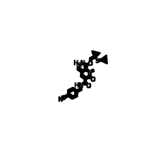 Cn1c(=O)c(C(=O)NCc2ccc(C#N)cc2)cc(=C/N)/c1=C(\N)OCC1(SC2CC2)CC1